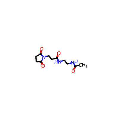 CC(=O)NCCNC(=O)CCN1C(=O)CCC1=O